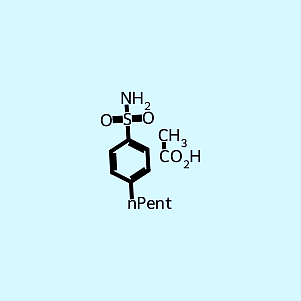 CC(=O)O.CCCCCc1ccc(S(N)(=O)=O)cc1